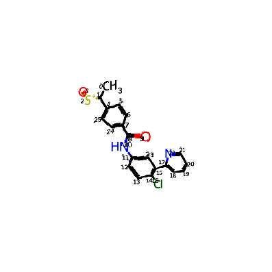 CC([S+]=O)c1ccc(C(=O)Nc2ccc(Cl)c(-c3ccccn3)c2)cc1